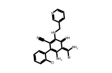 N#CC1=C(NCc2cccnc2)C(=N)/C(=C(\N)Br)C(N)=C1c1ccccc1Cl